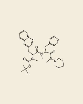 CN(C(=O)OC(C)(C)C)C(Cc1ccc2ccccc2c1)C(=O)N(C)C(Cc1ccccc1)C(=O)N(C)N1CCCCC1